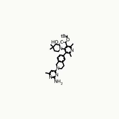 Cc1cc(N2CCc3cc(-c4c(C)nc(C)c([C@H](OC(C)(C)C)C(=O)O)c4N4CCC(C)(C)CC4)ccc3C2)nc(N)n1